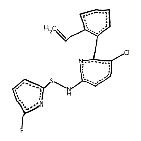 C=Cc1ccccc1-c1nc(NSc2cccc(F)n2)ccc1Cl